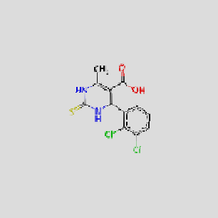 CC1=C(C(=O)O)C(c2cccc(Cl)c2Cl)NC(=S)N1